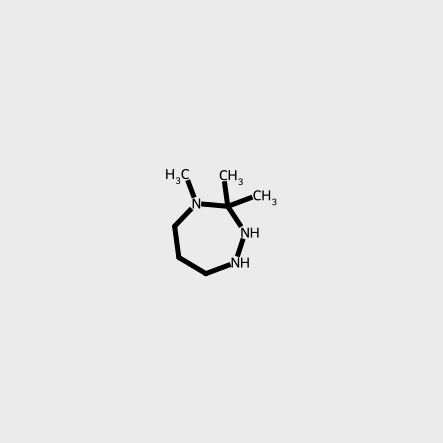 CN1CCCNNC1(C)C